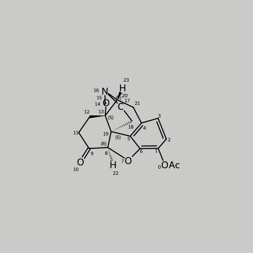 CC(=O)Oc1ccc2c3c1O[C@H]1C(=O)CC[C@]45OCN(CC[C@]314)[C@@H]5C2